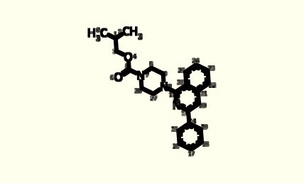 CC(C)COC(=O)N1CCN(c2nc(-c3ccccc3)cc3ccccc23)CC1